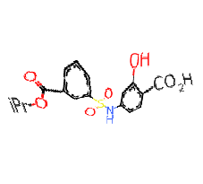 CC(C)OC(=O)c1cccc(S(=O)(=O)Nc2ccc(C(=O)O)c(O)c2)c1